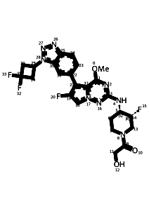 COc1nc(N[C@H]2CCN(C(=O)CO)C[C@H]2F)nn2cc(F)c(-c3ccc4nnn(C5CC(F)(F)C5)c4c3)c12